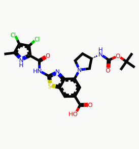 Cc1[nH]c(C(=O)Nc2nc3c(N4CC[C@H](NC(=O)OC(C)(C)C)C4)cc(C(=O)O)cc3s2)c(Cl)c1Cl